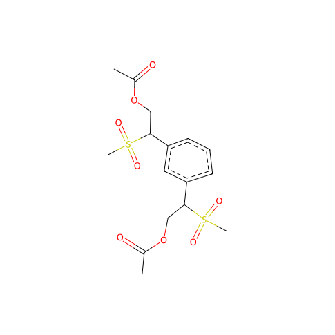 CC(=O)OCC(c1cccc(C(COC(C)=O)S(C)(=O)=O)c1)S(C)(=O)=O